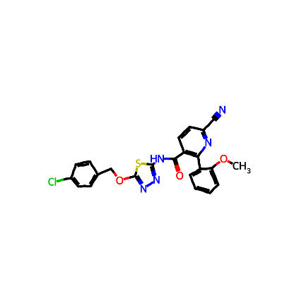 COc1ccccc1-c1nc(C#N)ccc1C(=O)Nc1nnc(OCc2ccc(Cl)cc2)s1